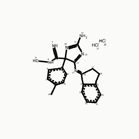 Cc1ccc(C2(C(=N)NO)N=C(N)N=C2N=C2CCc3ccccc32)cc1.Cl.Cl